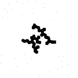 C=C(CC=CC(=O)O)C(=O)OCC1CO1.C=CC(=O)OC.C=CC(=O)OCC(CC)CCCC